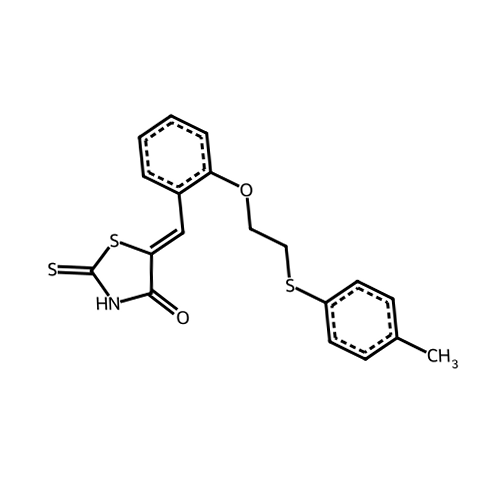 Cc1ccc(SCCOc2ccccc2/C=C2\SC(=S)NC2=O)cc1